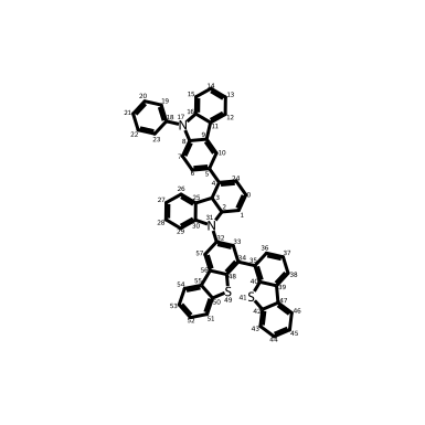 C1=CC2C(C(c3ccc4c(c3)c3ccccc3n4-c3ccccc3)=C1)c1ccccc1N2c1cc(-c2cccc3c2sc2ccccc23)c2sc3ccccc3c2c1